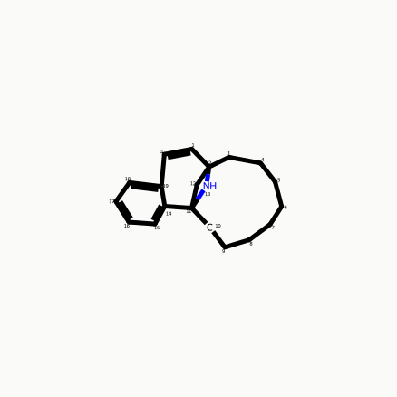 C1=CC23CCCCCCCCC(C2)(N3)c2ccccc21